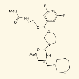 CNC[C@H](C[C@H]1CCCCOC1)NC(=O)N1CCC[C@@H](C(OCCNC(=O)OC)c2cc(F)cc(F)c2)C1